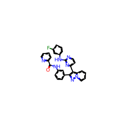 O=C(Nc1cccc(-c2nn3ccccc3c2-c2ccnc(Nc3cccc(F)c3)n2)c1)c1ccccn1